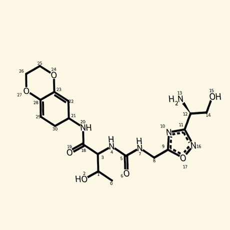 CC(O)C(NC(=O)NCc1nc([C@@H](N)CO)no1)C(=O)NC1C=C2OCCOC2=CC1